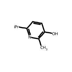 Cc1nc(C(C)C)ccc1O